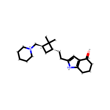 CC1(C)[C@H](CCc2cc3c([nH]2)CCCC3=O)C[C@H]1CN1CCCCC1